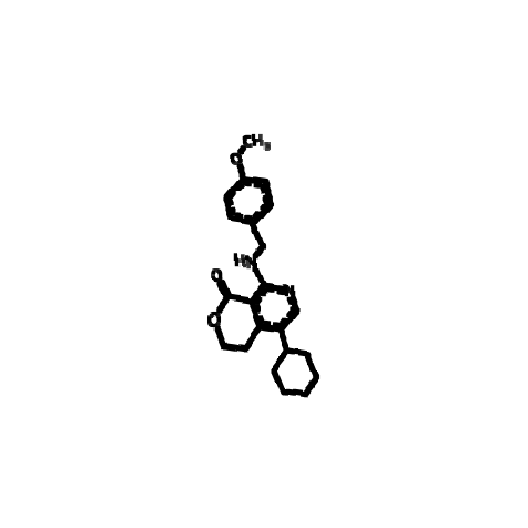 COc1ccc(CNc2ncc(C3CCCCC3)c3c2C(=O)OCC3)cc1